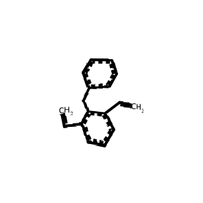 C=Cc1cccc(C=C)c1Cc1ccccc1